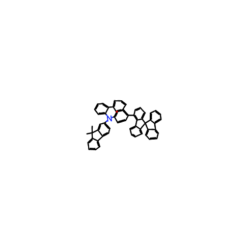 CC1(C)c2ccccc2-c2ccc(N(c3ccc(-c4cccc5c4-c4ccccc4C54c5ccccc5-c5ccccc54)cc3)c3ccccc3-c3ccccc3)cc21